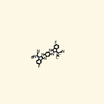 [C-]#[N+]/C(C#N)=C1/c2ccc(F)cc2-c2nc3cc4nc5c(nc4cc3nc21)-c1cc(F)ccc1/C5=C(/C#N)[N+]#[C-]